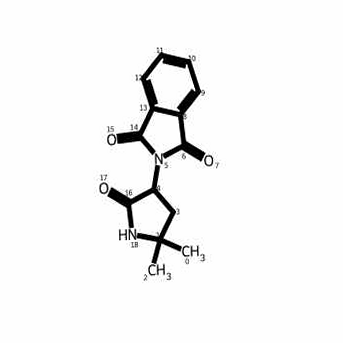 CC1(C)CC(N2C(=O)c3ccccc3C2=O)C(=O)N1